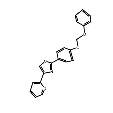 c1ccc(OCOc2ccc(-c3nc(-c4ccccn4)co3)cc2)cc1